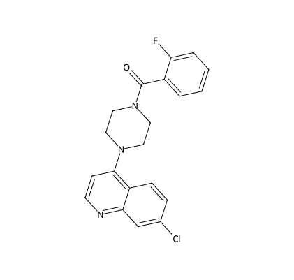 O=C(c1ccccc1F)N1CCN(c2ccnc3cc(Cl)ccc23)CC1